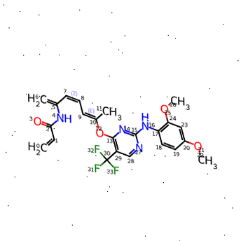 C=CC(=O)NC(=C)/C=C\C=C(/C)Oc1nc(Nc2ccc(OC)cc2OC)ncc1C(F)(F)F